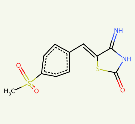 CS(=O)(=O)c1ccc(/C=C2\SC(=O)NC2=N)cc1